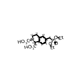 CCOP(=O)(Cc1ccc2c(c1)CCN(C(=O)O)C2C(=O)O)OCC